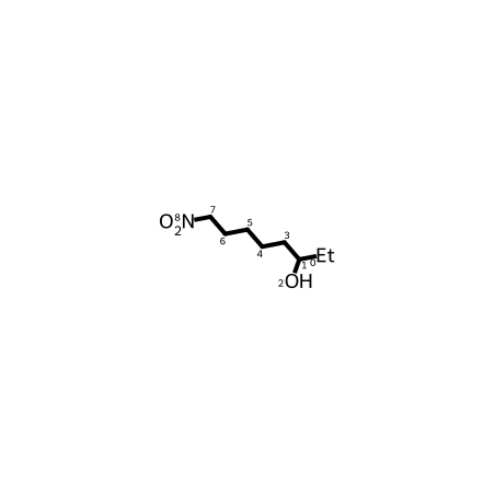 CCC(O)CCCCC[N+](=O)[O-]